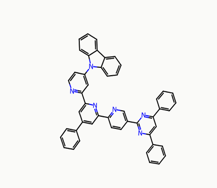 c1ccc(-c2cc(-c3ccc(-c4nc(-c5ccccc5)cc(-c5ccccc5)n4)cn3)nc(-c3cc(-n4c5ccccc5c5ccccc54)ccn3)c2)cc1